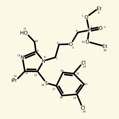 CCOP(=O)(COCCn1c(CO)nc(C(C)C)c1Sc1cc(Cl)cc(Cl)c1)OCC